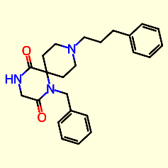 O=C1CNC(=O)C2(CCN(CCCc3ccccc3)CC2)N1Cc1ccccc1